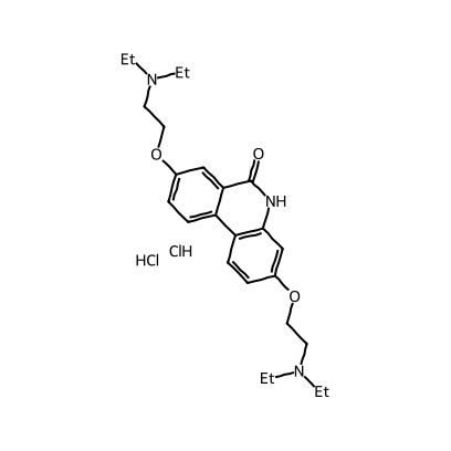 CCN(CC)CCOc1ccc2c(c1)[nH]c(=O)c1cc(OCCN(CC)CC)ccc12.Cl.Cl